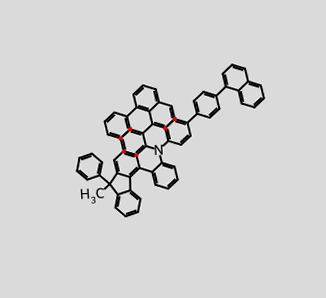 CC1(c2ccccc2)c2ccccc2-c2c(-c3ccccc3N(c3ccc(-c4ccc(-c5cccc6ccccc56)cc4)cc3)c3ccccc3-c3cccc4cccc(-c5ccccc5)c34)cccc21